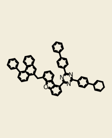 C1=CC(c2ccc(-c3nc(-c4ccc(-c5ccccc5)cc4)nc(-c4cccc5oc6c(Cc7cc8ccccc8c8c(-c9ccccc9)cccc78)cccc6c45)n3)cc2)=CCC1